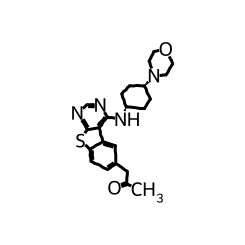 CC(=O)Cc1ccc2sc3ncnc(N[C@H]4CC[C@H](N5CCOCC5)CC4)c3c2c1